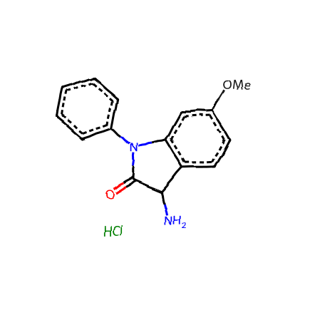 COc1ccc2c(c1)N(c1ccccc1)C(=O)C2N.Cl